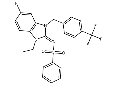 CCn1c(=NS(=O)(=O)c2ccccc2)n(Cc2ccc(C(F)(F)F)cc2)c2cc(F)ccc21